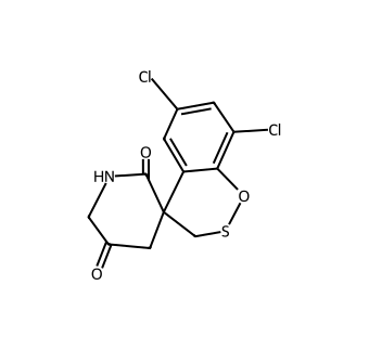 O=C1CNC(=O)C2(CSOc3c(Cl)cc(Cl)cc32)C1